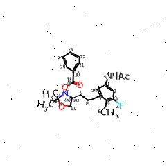 CC(=O)Nc1cc(F)c(C)c(CC[C@H]2COC(C)(C)N2OC(=O)c2ccccc2)c1